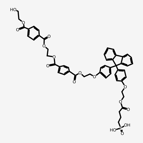 O=C(CCCP(=O)(O)O)OCCOc1ccc(C2(c3ccc(OCCOC(=O)c4ccc(C(=O)OCCOC(=O)c5ccc(C(=O)OCCO)cc5)cc4)cc3)c3ccccc3-c3ccccc32)cc1